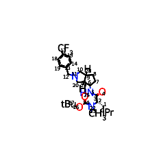 CC(C)C[C@@H](C(=O)N[C@@H]1CC[C@H]2CN(Cc3ccc(C(F)(F)F)cc3)C[C@H]21)N(C)C(=O)OC(C)(C)C